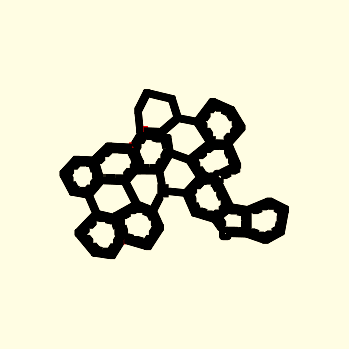 c1ccc(-c2cccc3cccc(-c4ccccc4N(c4ccc5c(c4)oc4ccccc45)c4ccccc4-c4cccc5cccc(C6CCCCC6)c45)c23)cc1